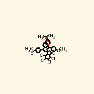 COc1ccc(/C(=C\C2(/C=C(\c3ccc(OC)cc3)c3ccc(N(C)C)cc3)CC(=O)c3c(Cl)c(Cl)c(Cl)c(Cl)c32)c2ccc(N(C)C)cc2)cc1